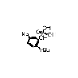 CCCCc1cc[c]([Na])cc1.O=P(O)(O)O